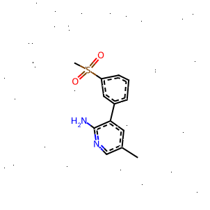 Cc1cnc(N)c(-c2cccc(S(C)(=O)=O)c2)c1